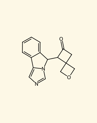 O=C1CC2(COC2)C1C1c2ccccc2-c2cncn21